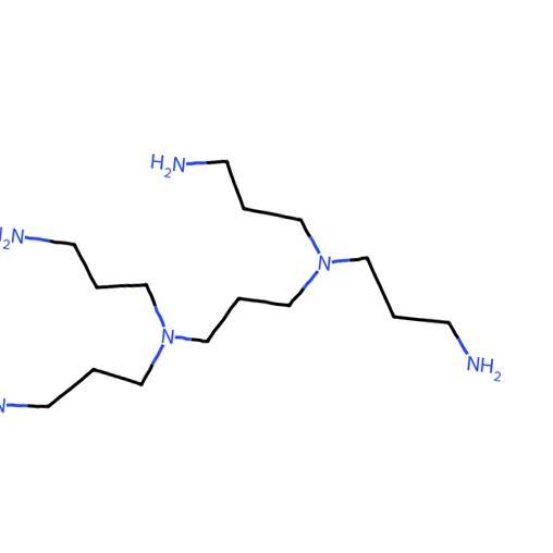 NCCCN(CCCN)CCCN(CCCN)CCCN